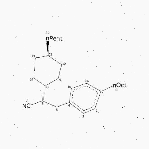 CCCCCCCCc1ccc(CC(C#N)[C@H]2CC[C@H](CCCCC)CC2)cc1